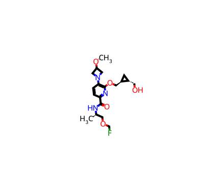 COC1CN(c2ccc(C(=O)N[C@@H](C)COCF)nc2OC[C@H]2C[C@@H]2CO)C1